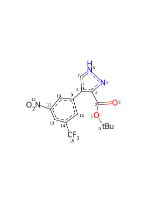 CC(C)(C)OC(=O)c1n[nH]cc1-c1cc([N+](=O)[O-])cc(C(F)(F)F)c1